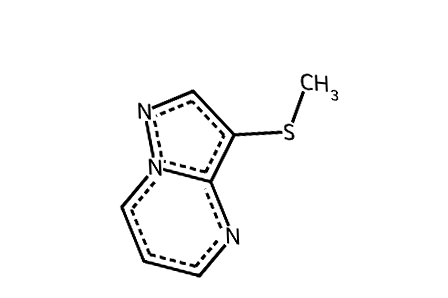 CSc1cnn2cccnc12